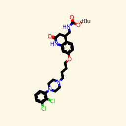 CC(C)(C)OC(=O)NCC1CC(=O)Nc2cc(OCCCCN3CCN(c4cccc(Cl)c4Cl)CC3)ccc21